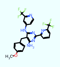 COc1ccc(Cc2c(N)nc(-c3cccc(C(F)(F)F)n3)nc2Nc2ccnc(C(F)(F)F)c2)cc1